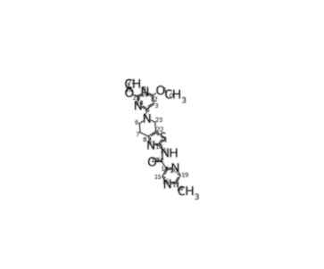 COc1cc(N2CCc3nc(NC(=O)c4cnc(C)cn4)sc3C2)nc(OC)n1